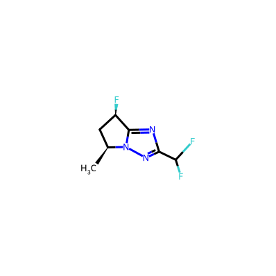 C[C@H]1C[C@@H](F)c2nc(C(F)F)nn21